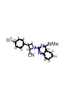 CNc1nc(N2CC(c3ccc(Br)cc3)C2C#N)nc2ccccc12